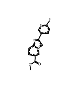 COC(=O)c1ccc2nc(-c3ccc(F)nc3)cn2c1